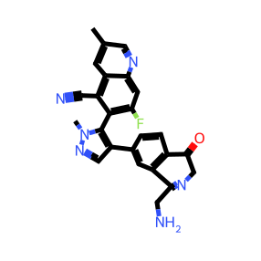 Cc1cnc2cc(F)c(-c3c(-c4ccc5c(c4)C(CN)=NCC5=O)cnn3C)c(C#N)c2c1